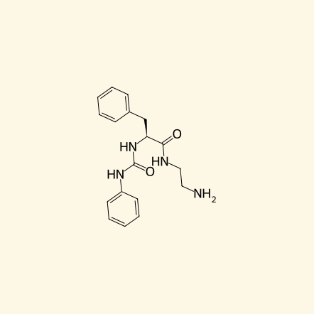 NCCNC(=O)[C@H](Cc1ccccc1)NC(=O)Nc1ccccc1